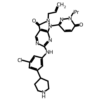 C=CCn1c(=O)c2cnc(Nc3cc(Cl)cc(C4CCNCC4)c3)nc2n1-c1ccc(=O)n(C(C)C)n1